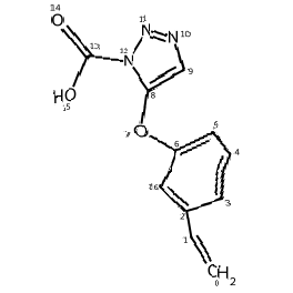 C=Cc1cccc(Oc2cnnn2C(=O)O)c1